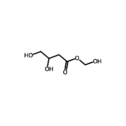 O=C(CC(O)CO)OCO